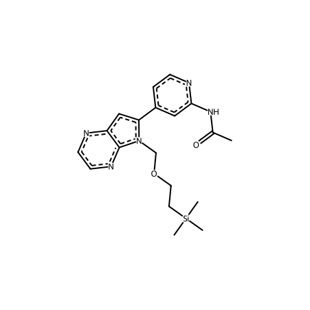 CC(=O)Nc1cc(-c2cc3nccnc3n2COCC[Si](C)(C)C)ccn1